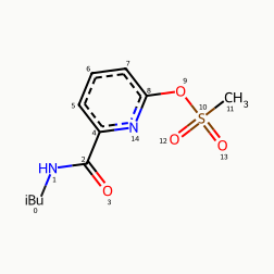 CCC(C)NC(=O)c1cccc(OS(C)(=O)=O)n1